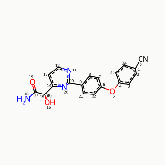 N#Cc1ccc(Oc2ccc(-c3nccc([C@@H](O)C(N)=O)n3)cc2)cc1